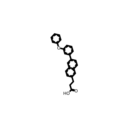 O=C(O)CCc1ccc2cc(-c3cccc(Oc4ccccc4)c3)ccc2c1